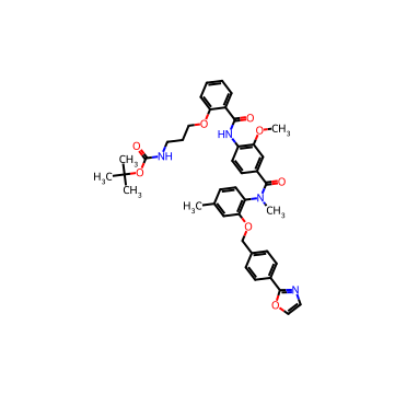 COc1cc(C(=O)N(C)c2ccc(C)cc2OCc2ccc(-c3ncco3)cc2)ccc1NC(=O)c1ccccc1OCCCNC(=O)OC(C)(C)C